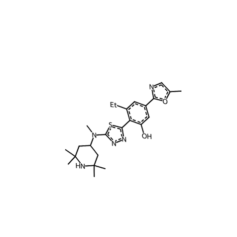 CCc1cc(-c2ncc(C)o2)cc(O)c1-c1nnc(N(C)C2CC(C)(C)NC(C)(C)C2)s1